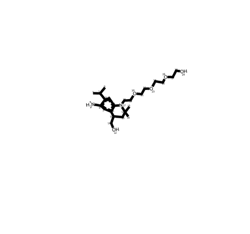 CC(C)c1cc2c(cc1N)C(CO)CC(C)(C)N2CCOCCOCCOCCO